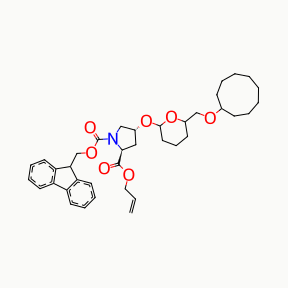 C=CCOC(=O)[C@@H]1C[C@@H](OC2CCCC(COC3CCCCCCCC3)O2)CN1C(=O)OCC1c2ccccc2-c2ccccc21